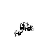 COc1c(Cl)ccc(-c2nc(C(=O)O)c3c(C)cn(Cc4ccc(C(F)(F)F)o4)c3n2)c1F